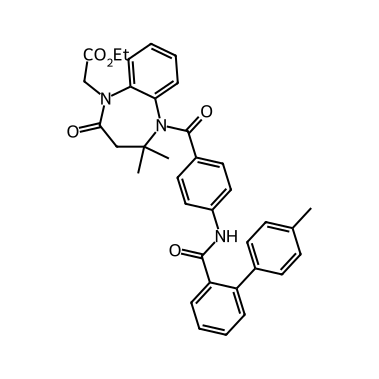 CCOC(=O)CN1C(=O)CC(C)(C)N(C(=O)c2ccc(NC(=O)c3ccccc3-c3ccc(C)cc3)cc2)c2ccccc21